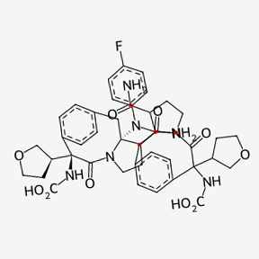 NC(=O)C1CCN2C(=O)C(NC(=O)O)(C3CCOC3)c3ccc(cc3)CC12N(c1ccc(F)cc1)[C@@]12Cc3ccc(cc3)[C@@](NC(=O)O)([C@H]3CCOC3)C(=O)N1CCC2C(N)=O